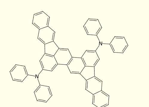 c1ccc(N(c2ccccc2)c2cc3c4cc5ccccc5cc4c4cc5c(cc6c7cc8ccccc8cc7c7cc(N(c8ccccc8)c8ccccc8)cc5c76)c(c2)c34)cc1